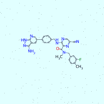 Cc1ccc(CN(C)C(=O)c2nc(C#N)cnc2NCc2ccc(-c3cnc4[nH]nc(N)c4c3)cc2)cc1F